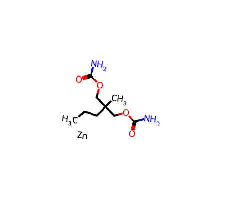 CCCC(C)(COC(N)=O)COC(N)=O.[Zn]